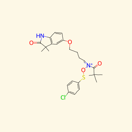 CC(C)(C)C(=O)[N+](=CCCCOc1ccc2c(c1)C(C)(C)C(=O)N2)OSc1ccc(Cl)cc1